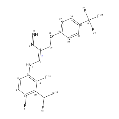 N=N/C(=C\Nc1ccc(F)c(C(F)F)c1F)COc1ncc(C(F)(F)F)cn1